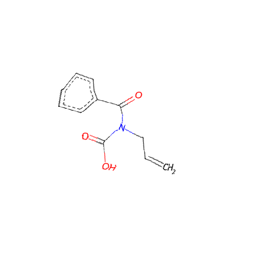 C=CCN(C(=O)O)C(=O)c1ccccc1